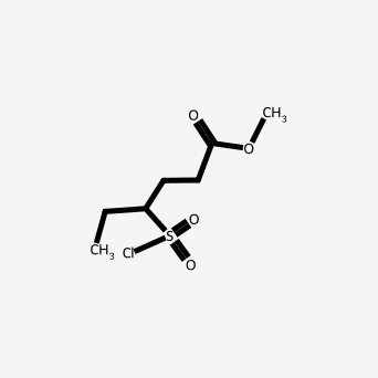 CCC(CCC(=O)OC)S(=O)(=O)Cl